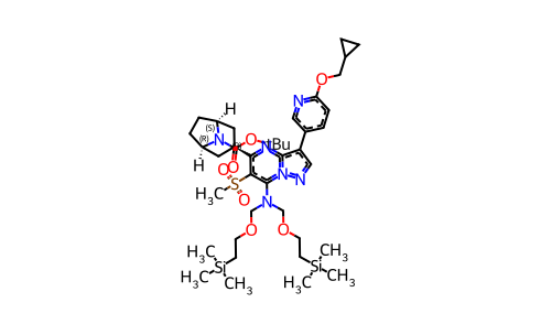 CC(C)(C)OC(=O)N1[C@@H]2CC[C@H]1C[C@@H](c1nc3c(-c4ccc(OCC5CC5)nc4)cnn3c(N(COCC[Si](C)(C)C)COCC[Si](C)(C)C)c1S(C)(=O)=O)C2